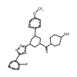 O=C(N1CCC(O)CC1)N1CC(c2ccc(OC(F)(F)F)cc2)CC(c2nc(-c3ccccc3F)no2)C1